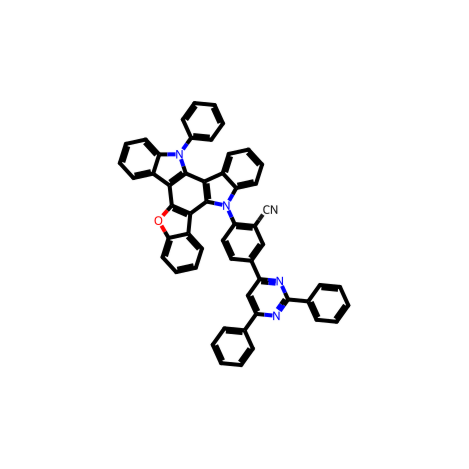 N#Cc1cc(-c2cc(-c3ccccc3)nc(-c3ccccc3)n2)ccc1-n1c2ccccc2c2c3c(c4ccccc4n3-c3ccccc3)c3oc4ccccc4c3c21